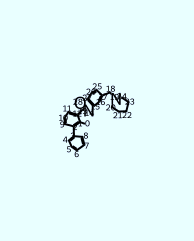 Cc1c(-c2ccccc2)cccc1-c1nc2cc(CN3CCCCC3)ccc2o1